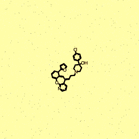 OC1(c2ccc(Cl)cc2)CCN(CCC=C2C=C3C(=CC=CC3c3ccco3)Oc3ncccc32)CC1